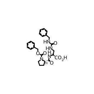 O=C(NCc1ccccc1)NC[C@H](NC(=O)[C@@H]1CCCN1C(=O)OCc1ccccc1)C(=O)O